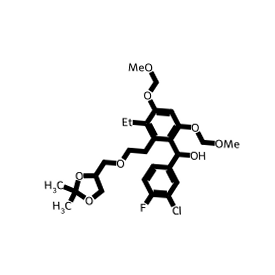 CCc1c(OCOC)cc(OCOC)c(C(O)c2ccc(F)c(Cl)c2)c1CCOCC1COC(C)(C)O1